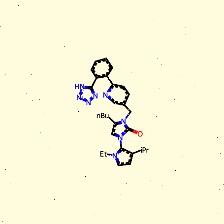 CCCCc1cn(-c2c(C(C)C)ccn2CC)c(=O)n1Cc1ccc(-c2ccccc2-c2nnn[nH]2)nc1